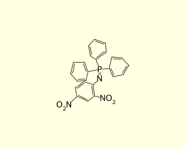 O=[N+]([O-])c1ccc(N=P(c2ccccc2)(c2ccccc2)c2ccccc2)c([N+](=O)[O-])c1